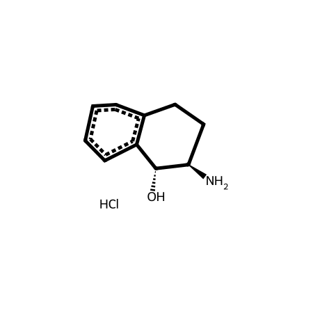 Cl.N[C@@H]1CCc2ccccc2[C@H]1O